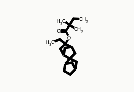 CCC(C)(C)C(=O)OC1(CC)CC2CC1CC21CC2CCC1C2